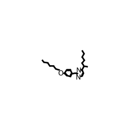 CCCCCCCOc1ccc(-c2nccc(C(C)CCCCC)n2)cc1